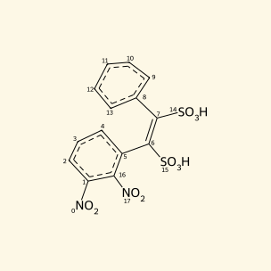 O=[N+]([O-])c1cccc(C(=C(c2ccccc2)S(=O)(=O)O)S(=O)(=O)O)c1[N+](=O)[O-]